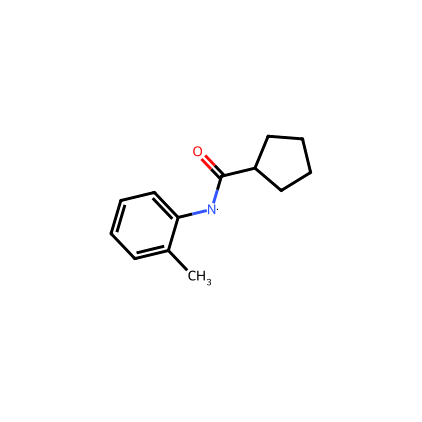 Cc1ccccc1[N]C(=O)C1CCCC1